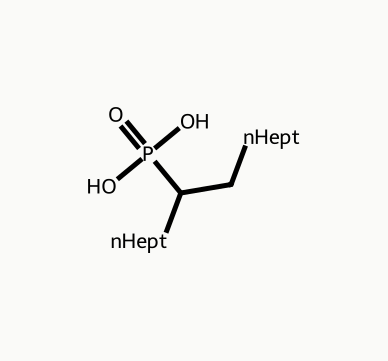 CCCCCCCCC(CCCCCCC)P(=O)(O)O